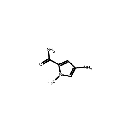 Cn1cc(N)cc1C(N)=O